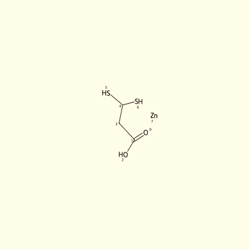 O=C(O)CC(S)S.[Zn]